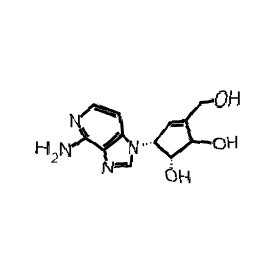 Nc1nccc2c1ncn2[C@@H]1C=C(CO)C(O)[C@@H]1O